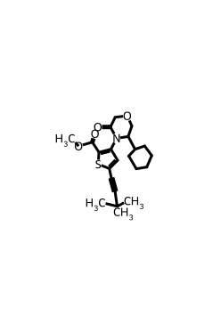 COC(=O)c1sc(C#CC(C)(C)C)cc1N1C(=O)COCC1C1CCCCC1